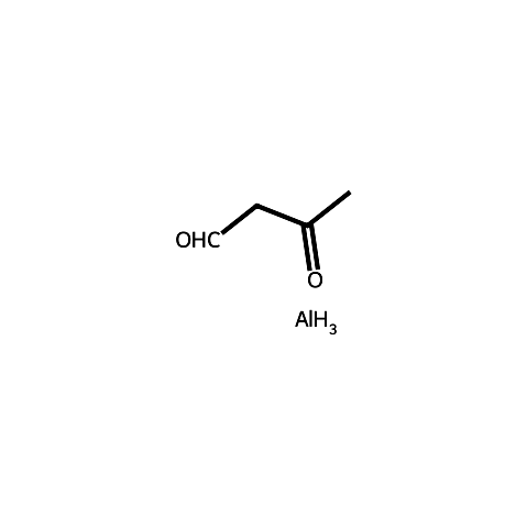 CC(=O)CC=O.[AlH3]